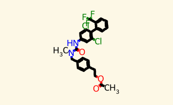 CC(=O)OCCc1ccc(CN(C)C(=O)Nc2cc(Cl)c(-c3ccccc3C(F)(F)F)c(Cl)c2)cc1